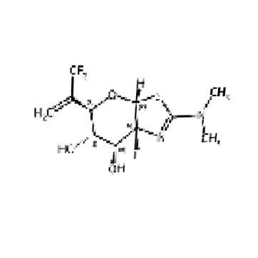 C=C([C@H]1O[C@@H]2SC(N(C)C)=N[C@@H]2[C@@H](O)[C@@H]1O)C(F)(F)F